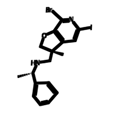 C[C@H](NC[C@]1(C)COc2c1cc(I)nc2Br)c1ccccc1